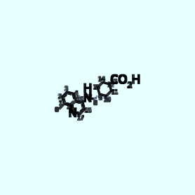 Cc1cccc2c(NC[C@H]3CC[C@H](C(=O)O)CC3)ccnc12